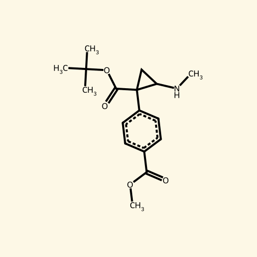 CNC1CC1(C(=O)OC(C)(C)C)c1ccc(C(=O)OC)cc1